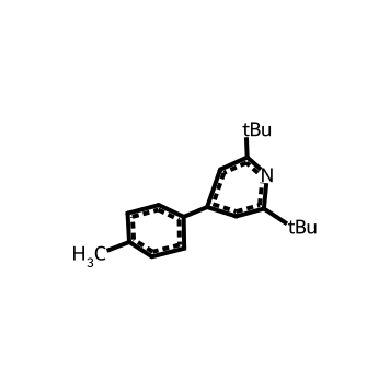 Cc1ccc(-c2cc(C(C)(C)C)nc(C(C)(C)C)c2)cc1